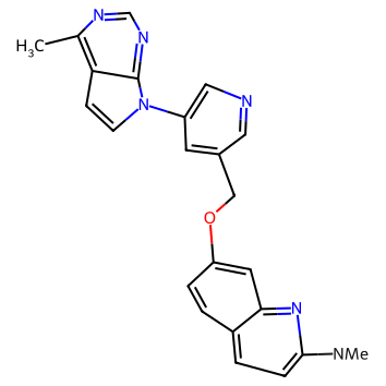 CNc1ccc2ccc(OCc3cncc(-n4ccc5c(C)ncnc54)c3)cc2n1